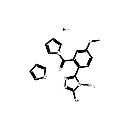 COc1ccc(-c2nnc(S)n2N)c(C(=O)[c-]2cccc2)c1.[Fe+2].c1cc[cH-]c1